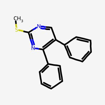 CSc1ncc(-c2ccccc2)c(-c2ccccc2)n1